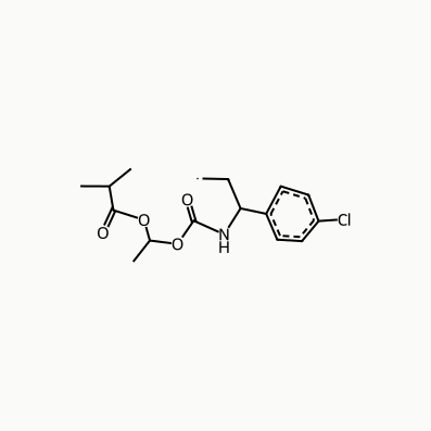 [CH2]CC(NC(=O)OC(C)OC(=O)C(C)C)c1ccc(Cl)cc1